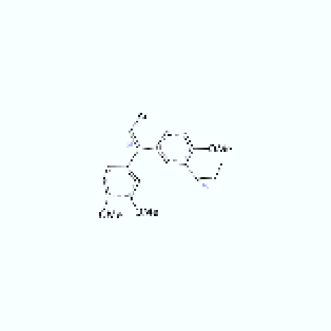 C/C=C\c1cc(/C(=C\C(C)=O)c2ccc(OC)c(OC)c2)ccc1OC